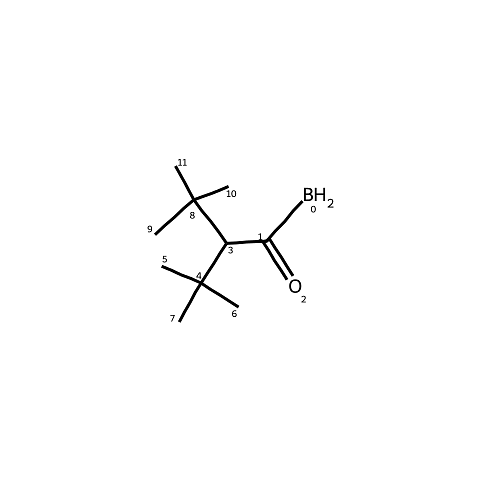 BC(=O)C(C(C)(C)C)C(C)(C)C